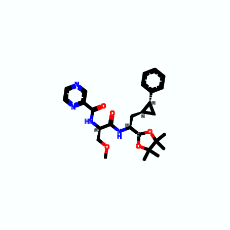 COC[C@@H](NC(=O)c1cnccn1)C(=O)N[C@@H](C[C@@H]1C[C@H]1c1ccccc1)B1OC(C)(C)C(C)(C)O1